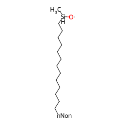 CCCCCCCCCCCCCCCCCCCCCC[SiH](C)[O]